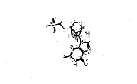 C=P(C)(C)CC[C@@]12CO[C@@H](C(n3cnc4c(=O)[nH]c(C)nc43)O1)[C@@H]2O